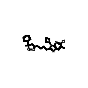 Cc1cc2nc(CCCCC(=O)CC(C)(O)c3ccccc3)n(C3CCC3)c2nc1Cl